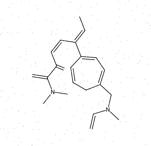 C=CN(C)CC1=CC=C(C(/C=C\C(=C)C(=C)N(C)C)=C/C)C=CC1